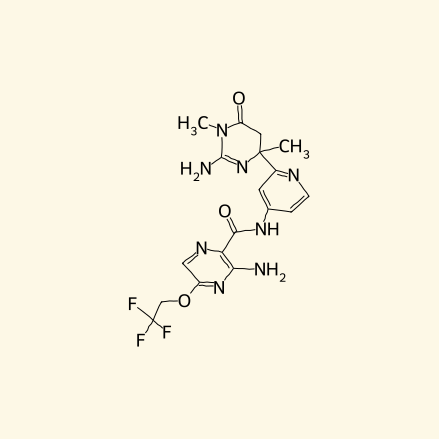 CN1C(=O)CC(C)(c2cc(NC(=O)c3ncc(OCC(F)(F)F)nc3N)ccn2)N=C1N